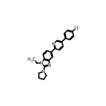 CCn1c(N2CCCC2)nc2cc(-c3ccc(-c4ccc(Cl)cc4)cn3)ccc21